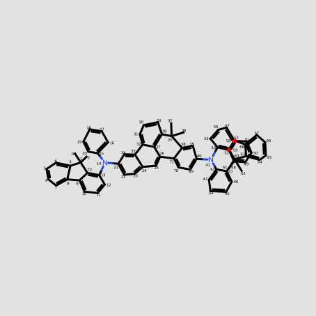 CC1(C)c2ccccc2-c2cccc(N(c3ccccc3)c3ccc4cc5c6c(cccc6c4c3)C(C)(C)c3cc(N(c4ccccc4-c4ccccc4)c4cccc6c4C(C)(C)c4ccccc4-6)ccc3-5)c21